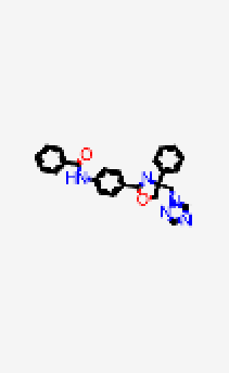 O=C(Nc1ccc(C2=NC(Cn3cncn3)(c3ccccc3)CO2)cc1)c1ccccc1